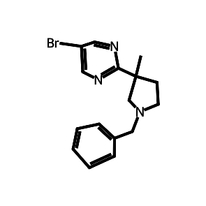 CC1(c2ncc(Br)cn2)CCN(Cc2ccccc2)C1